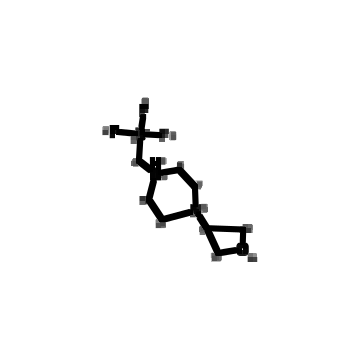 F[B-](F)(F)C[NH+]1CCN(C2COC2)CC1